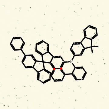 CC1(C)c2ccccc2-c2ccc(N(c3ccc4c(c3)-c3ccccc3C43c4ccccc4-c4ccc(-c5ccccc5)cc43)c3ccccc3-c3ccccc3)cc21